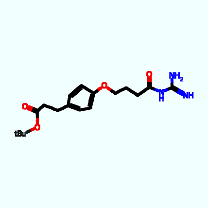 CC(C)(C)OC(=O)CCc1ccc(OCCCC(=O)NC(=N)N)cc1